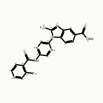 COC(=O)c1ccc2c(c1)nc(C(F)(F)F)n2-c1cnc(NC(=O)c2ccncc2F)cn1